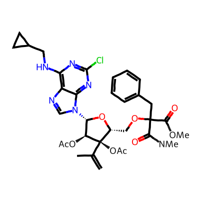 C=C(C)[C@@]1(OC(C)=O)[C@@H](COC(Cc2ccccc2)(C(=O)NC)C(=O)OC)O[C@@H](n2cnc3c(NCC4CC4)nc(Cl)nc32)[C@@H]1OC(C)=O